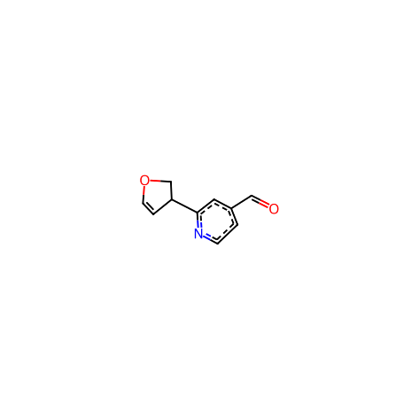 O=Cc1ccnc(C2C=COC2)c1